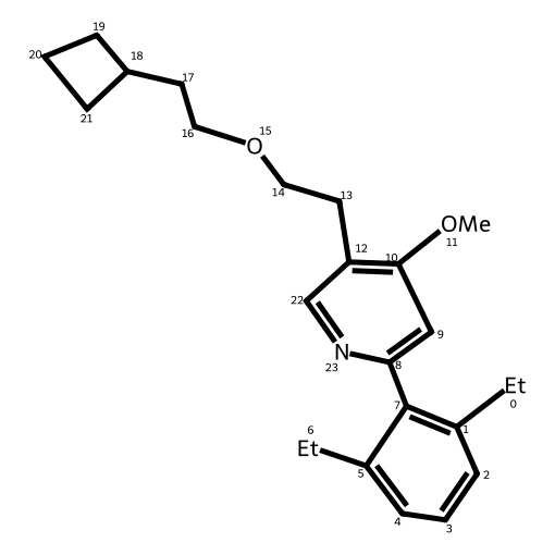 CCc1cccc(CC)c1-c1cc(OC)c(CCOCCC2CCC2)cn1